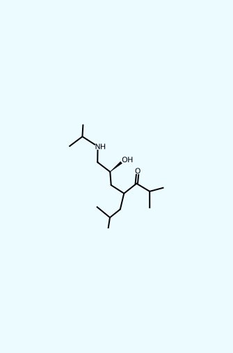 CC(C)CC(C[C@H](O)CNC(C)C)C(=O)C(C)C